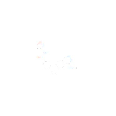 Cc1ccc(C(=O)Nc2ccon2)cc1-c1ccc2c(NC(C)C)nncc2c1